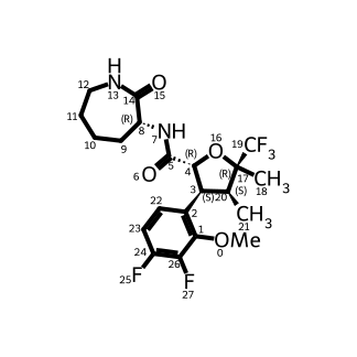 COc1c([C@H]2[C@H](C(=O)N[C@@H]3CCCCNC3=O)O[C@@](C)(C(F)(F)F)[C@H]2C)ccc(F)c1F